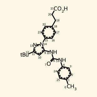 Cc1ccc(NC(=O)Nc2cc(C(C)(C)C)nn2-c2ccc(CCC(=O)O)cc2)cc1